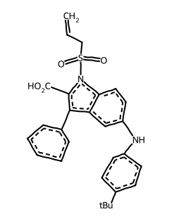 C=CCS(=O)(=O)n1c(C(=O)O)c(-c2ccccc2)c2cc(Nc3ccc(C(C)(C)C)cc3)ccc21